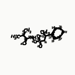 C=C(C)C(=O)NOS(=O)(=O)CC(C)c1ccccc1